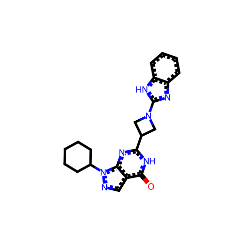 O=c1[nH]c(C2CN(c3nc4ccccc4[nH]3)C2)nc2c1cnn2C1CCCCC1